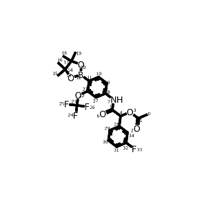 CC(=O)OC(C(=O)Nc1ccc(B2OC(C)(C)C(C)(C)O2)c(OC(F)(F)F)c1)c1cccc(F)c1